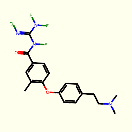 Cc1cc(C(=O)N(F)C(=NCl)N(F)F)ccc1Oc1ccc(CCN(C)C)cc1